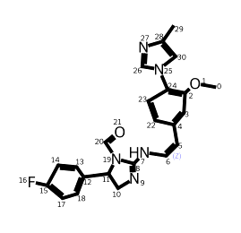 COc1cc(/C=C\NC2=NCC(c3ccc(F)cc3)N2C=O)ccc1-n1cnc(C)c1